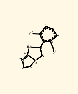 Clc1cccc(Cl)c1C1CN2CCN=C2N1